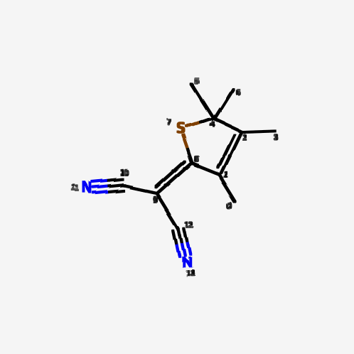 CC1=C(C)C(C)(C)SC1=C(C#N)C#N